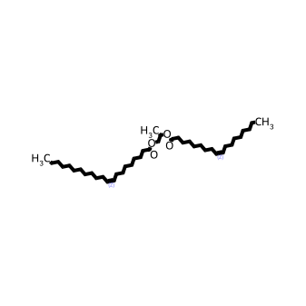 CCCCCCCC/C=C\CCCCCCCC(=O)OC(C)COC(=O)CCCCCCC/C=C\CCCCCCCCCCC